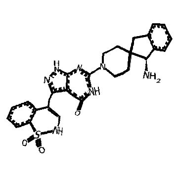 N[C@@H]1c2ccccc2CC12CCN(c1nc3[nH]nc(C4=CNS(=O)(=O)c5ccccc54)c3c(=O)[nH]1)CC2